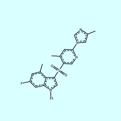 CCn1cc(S(=O)(=O)c2cnc(-n3cnc(C)c3)cc2C)c2c(C)cc(F)cc21